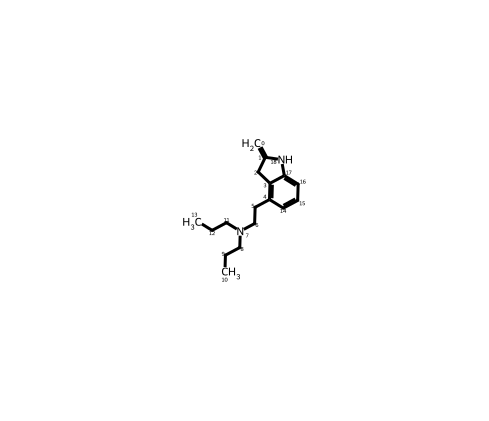 C=C1Cc2c(CCN(CCC)CCC)cccc2N1